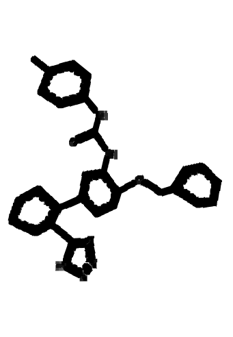 Cc1ccc(NC(=O)Nc2cc(-c3ccccc3-c3nnn[nH]3)ccc2OCc2ccccc2)cc1